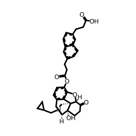 O=C(O)CCc1ccc2cc(CCC(=O)Oc3ccc4c5c3O[C@H]3C(=O)CC[C@@]6(O)[C@@H](C4)N(CC4CC4)CC[C@]536)ccc2c1